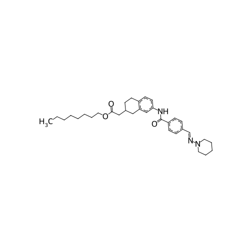 CCCCCCCCOC(=O)CC1CCc2ccc(NC(=O)c3ccc(/C=N/N4CCCCC4)cc3)cc2C1